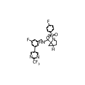 O=C(NCc1cc(F)cc(-c2cnc(C(F)(F)F)nc2)c1)[C@]12C[C@H]1CCN2S(=O)(=O)c1ccc(F)cc1